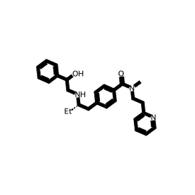 CC[C@@H](Cc1ccc(C(=O)N(C)CCc2ccccn2)cc1)NCC(O)c1ccccc1